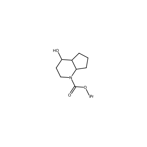 CC(C)OC(=O)N1CCC(O)C2CCCC21